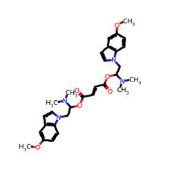 COc1ccc2c(ccn2CC(OC(=O)/C=C/C(=O)OC(Cn2ccc3cc(OC)ccc32)N(C)C)N(C)C)c1